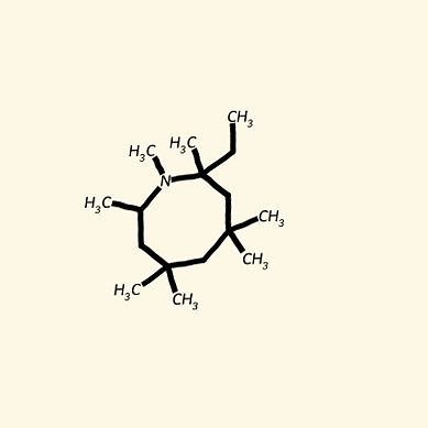 CCC1(C)CC(C)(C)CC(C)(C)CC(C)N1C